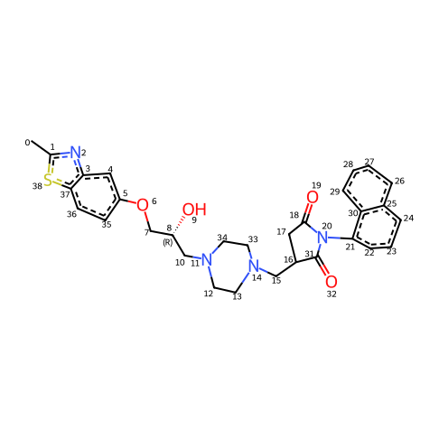 Cc1nc2cc(OC[C@H](O)CN3CCN(CC4CC(=O)N(c5cccc6ccccc56)C4=O)CC3)ccc2s1